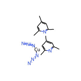 Cc1cc(C)nc(C)c1.Cc1cc(C)nc(C)c1.[N-]=[N+]=[N][Cu][N]=[N+]=[N-]